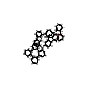 CC1(C)c2ccccc2-c2ccc(N(c3cccc4c3-c3ccccc3-c3ccccc3-c3ccccc3-4)c3cccc4c3oc3c(-c5ccc(-n6c7ccccc7c7ccccc76)cc5)cccc34)cc21